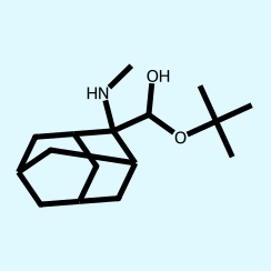 CNC1(C(O)OC(C)(C)C)C2CC3CC(C2)CC1C3